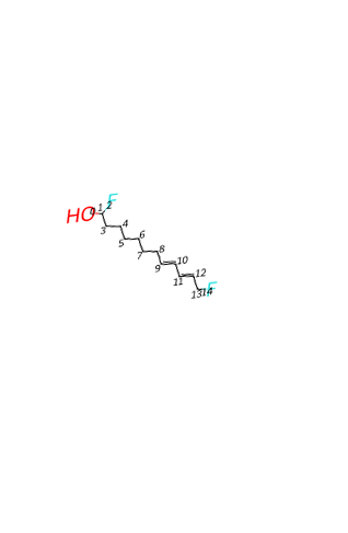 OC(F)CCCCCCC=CC=CCF